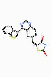 O=C1NC(=O)/C(=C\c2ccc3ncnc(-c4csc5ccccc45)c3c2)S1